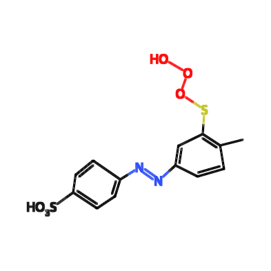 Cc1ccc(N=Nc2ccc(S(=O)(=O)O)cc2)cc1SOOO